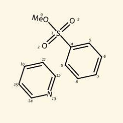 COS(=O)(=O)c1ccccc1.c1ccncc1